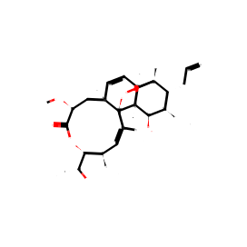 C=CC[C@@H]1[C@@H](C)[C@@H](O)[C@@H]2[C@H]3C=C[C@@H]4C[C@H](OC)C(=O)O[C@H]([C@@H](C)O)[C@H](C)C=C(C)[C@@]24O[C@H]31